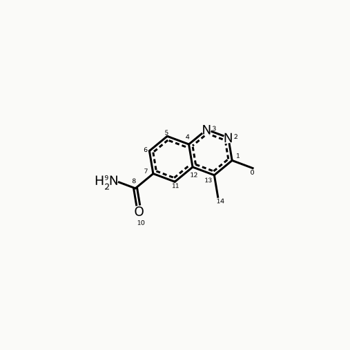 Cc1nnc2ccc(C(N)=O)cc2c1C